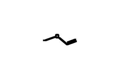 [CH2]OC=C